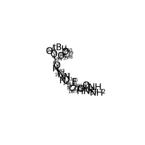 CC(C)(C)C(=O)OCC(CON=C1CN(c2ncc(-c3cccc(COC(=O)NC(=N)N)c3F)cn2)C1)COC1CCCCO1